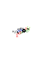 CC(C(=O)O)N(C)C(=O)N(C)c1cc(OC(F)(F)C(F)F)c(Cl)cc1Cl